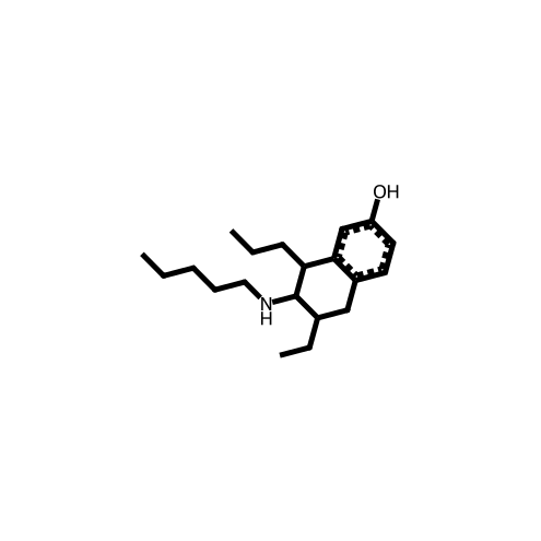 CCCCCNC1C(CC)Cc2ccc(O)cc2C1CCC